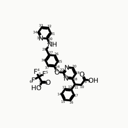 O=C(O)C(F)(F)F.O=C(O)CC(c1ccccc1)c1ccnc(Oc2ccc(CNc3ccccn3)cc2)n1